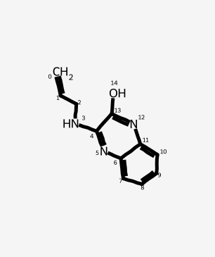 C=CCNc1nc2ccccc2nc1O